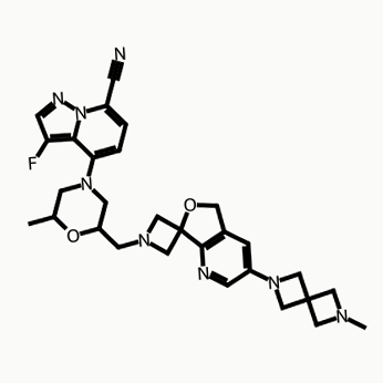 CC1CN(c2ccc(C#N)n3ncc(F)c23)CC(CN2CC3(C2)OCc2cc(N4CC5(CN(C)C5)C4)cnc23)O1